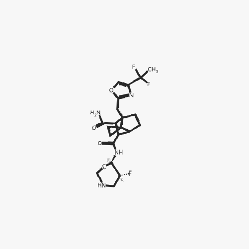 CC(F)(F)c1coc(CC23CCC(C(C(=O)N[C@@H]4CCNC[C@H]4F)C2C(N)=O)C32CC2)n1